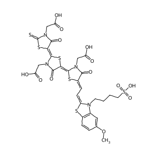 COc1ccc2c(c1)N(CCCCS(=O)(=O)O)C(=CC=c1s/c(=c3/s/c(=C4/SC(=S)N(CC(=O)O)C4=O)n(CC(=O)O)c3=O)n(CC(=O)O)c1=O)S2